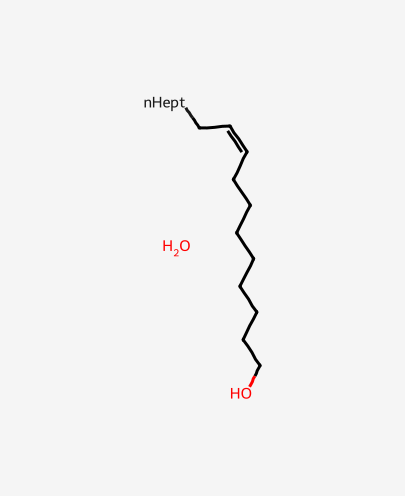 CCCCCCCC/C=C\CCCCCCCCO.O